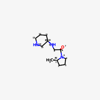 C[C@@H]1CCCN1C(=O)CN[C@@H]1CCCNC1